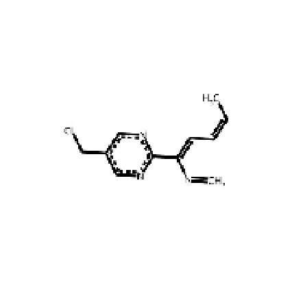 C=N/C(=C\C=C/C)c1ncc(CCl)cn1